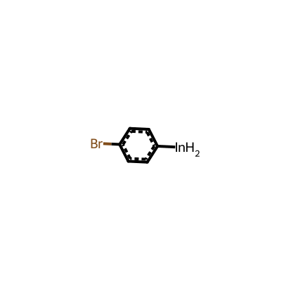 Brc1cc[c]([InH2])cc1